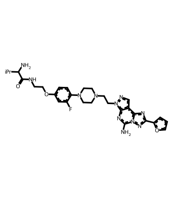 CC(C)C(N)C(=O)NCCOc1ccc(N2CCN(CCn3ncc4c3nc(N)n3nc(-c5ccco5)nc43)CC2)c(F)c1